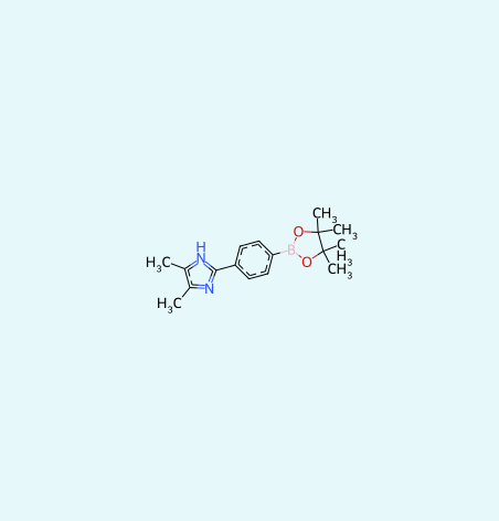 Cc1nc(-c2ccc(B3OC(C)(C)C(C)(C)O3)cc2)[nH]c1C